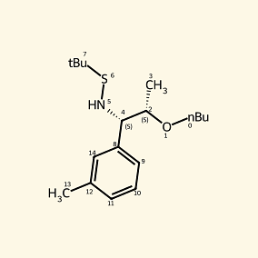 CCCCO[C@@H](C)[C@@H](NSC(C)(C)C)c1cccc(C)c1